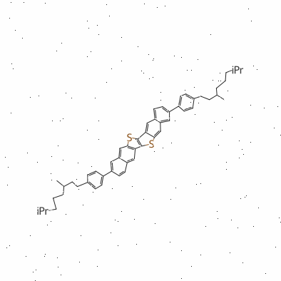 CC(C)CCCC(C)CCc1ccc(-c2ccc3cc4c(cc3c2)sc2c3cc5ccc(-c6ccc(CCC(C)CCCC(C)C)cc6)cc5cc3sc42)cc1